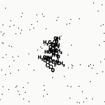 C[C@H](CCC(=O)O)C1CC[C@H]2[C@@H]3[C@H](O)C[C@@H]4C[C@@H](OCCN(C)c5ccc([C@H]6C[C@@]7(C)C(CC[C@]7(C)O)C7CCC8=CC(=O)CCC8=C76)cc5F)CC[C@]4(C)[C@H]3C[C@H](O)[C@]12C